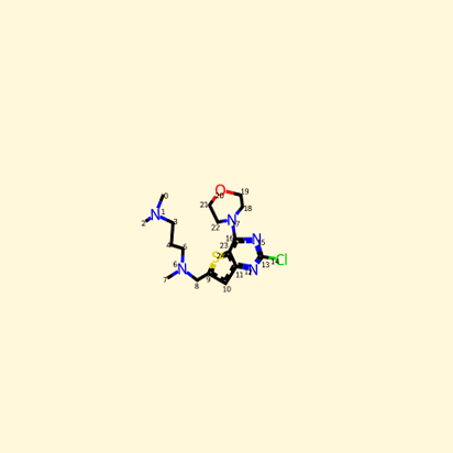 CN(C)CCCN(C)Cc1cc2nc(Cl)nc(N3CCOCC3)c2s1